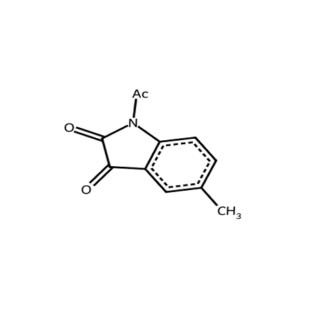 CC(=O)N1C(=O)C(=O)c2cc(C)ccc21